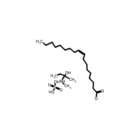 CCC(C)(O)NC.CCCCCCCC/C=C\CCCCCCCC([O])=O.O=S(=O)(O)O